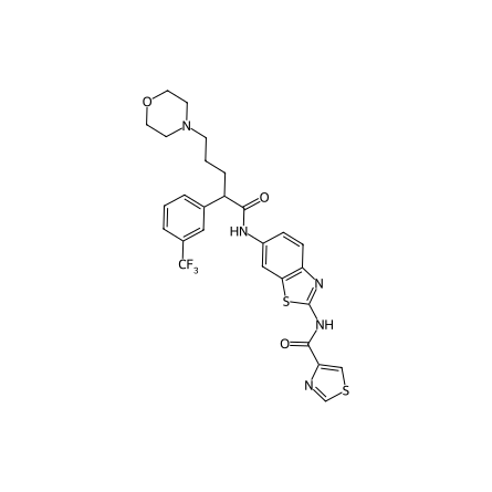 O=C(Nc1nc2ccc(NC(=O)C(CCCN3CCOCC3)c3cccc(C(F)(F)F)c3)cc2s1)c1cscn1